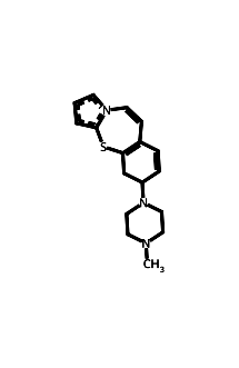 CN1CCN(C2C=CC3=C(C2)Sc2cccn2C=C3)CC1